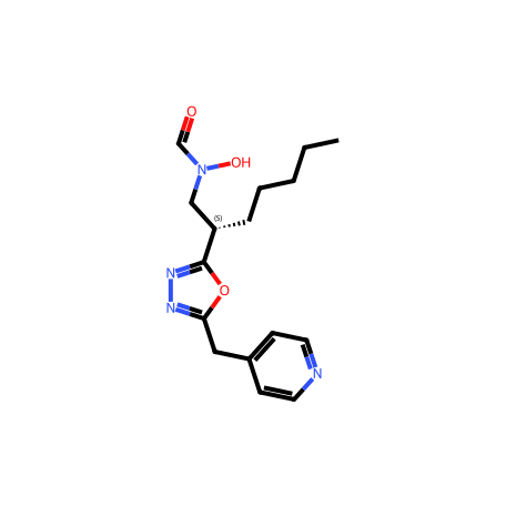 CCCCC[C@@H](CN(O)C=O)c1nnc(Cc2ccncc2)o1